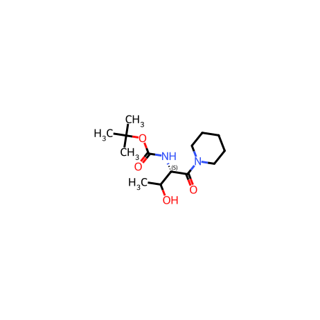 CC(O)[C@H](NC(=O)OC(C)(C)C)C(=O)N1CCCCC1